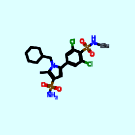 Cc1c(S(N)(=O)=O)cc(-c2cc(Cl)c(S(=O)(=O)NC(C)(C)C)c(Cl)c2)n1CC1CCCCC1